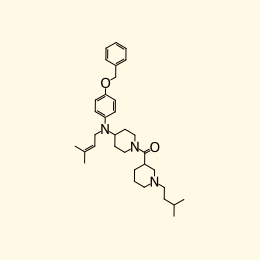 CC(C)=CCN(c1ccc(OCc2ccccc2)cc1)C1CCN(C(=O)C2CCCN(CCC(C)C)C2)CC1